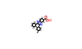 Cc1ccc(-c2nc3cc(C(=O)O)ccc3nc2-c2ccccc2)cc1